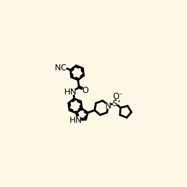 N#Cc1cccc(C(=O)Nc2ccc3[nH]cc(C4CCN([S+]([O-])C5CCCC5)CC4)c3c2)c1